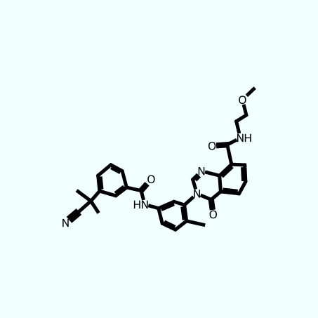 COCCNC(=O)c1cccc2c(=O)n(-c3cc(NC(=O)c4cccc(C(C)(C)C#N)c4)ccc3C)cnc12